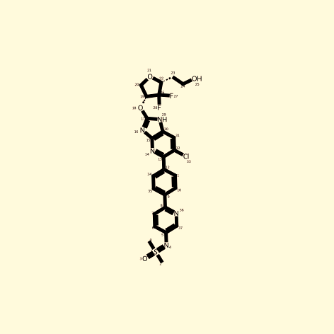 CS(C)(=O)=Nc1ccc(-c2ccc(-c3nc4nc(O[C@@H]5CO[C@H](CCO)C5(F)F)[nH]c4cc3Cl)cc2)nc1